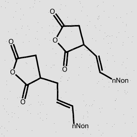 CCCCCCCCC/C=C/C1CC(=O)OC1=O.CCCCCCCCC/C=C/CC1CC(=O)OC1=O